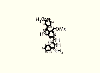 COCc1nc(NC(=O)NC(C)c2ccccc2)cc2[nH]nc(-c3ccnc(C)c3)c12